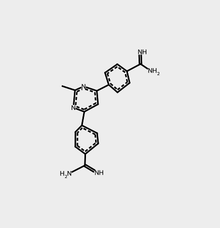 Cc1nc(-c2ccc(C(=N)N)cc2)cc(-c2ccc(C(=N)N)cc2)n1